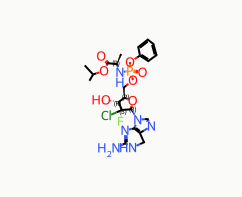 CC(C)OC(=O)[C@@H](C)NP(=O)(OC[C@H]1O[C@@H](n2cnc3c2N=C(N)NC3)[C@@](F)(Cl)[C@@H]1O)Oc1ccccc1